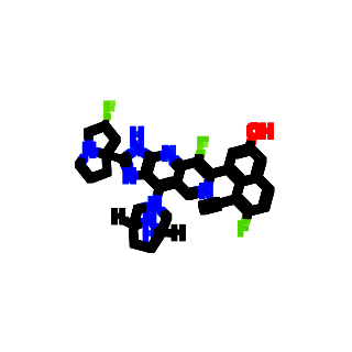 C#Cc1c(F)ccc2cc(O)cc(-c3ncc4c(N5C[C@H]6CC[C@@H](C5)N6)c5nc([C@@]67CCCN6C[C@H](F)C7)[nH]c5nc4c3F)c12